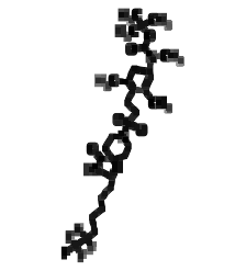 Cc1cc(N(C)C(=O)OC(C)(C)C)cc(C)c1CCS(=O)(=O)N1CCC2(CC1)N=C(CCCCCC(F)(F)C(F)(F)F)NC2=O